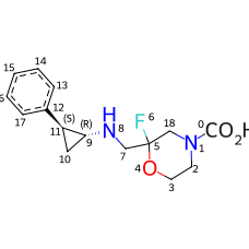 O=C(O)N1CCOC(F)(CN[C@@H]2C[C@H]2c2ccccc2)C1